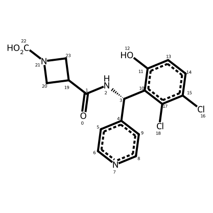 O=C(N[C@@H](c1ccncc1)c1c(O)ccc(Cl)c1Cl)C1CN(C(=O)O)C1